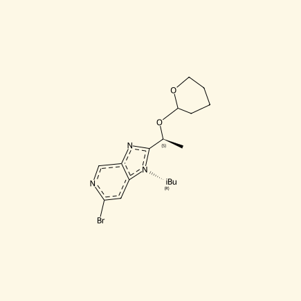 CC[C@@H](C)n1c([C@H](C)OC2CCCCO2)nc2cnc(Br)cc21